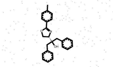 Cc1ccc(C2=N[C@H](C(O)(Cc3ccccc3)Cc3ccccc3)CO2)cc1